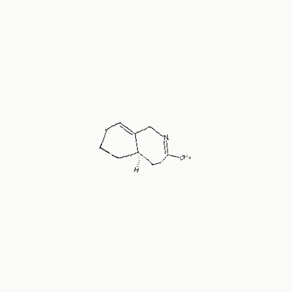 CC1=NCC2=CCCC[C@@H]2C1